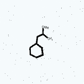 COC(C)C[C]1CCCCC1